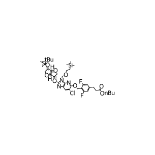 CCCCOC(=O)CCc1cc(F)c(COc2nc3c(cc2Cl)nc(O[C@@H]2CO[C@H]4[C@@H]2OC[C@H]4O[Si](C)(C)C(C)(C)C)n3COCC[Si](C)(C)C)c(F)c1